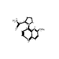 COc1ccc2nccc(N3C[CH]CC3C(N)=O)c2n1